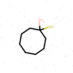 BC1(S)CCCCCCC1